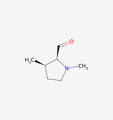 C[C@@H]1CCN(C)[C@@H]1C=O